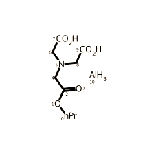 CCCOC(=O)CN(CC(=O)O)CC(=O)O.[AlH3]